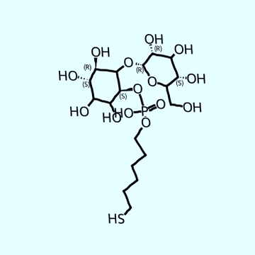 O=P(O)(OCCCCCCS)O[C@H]1C(O)C(O)[C@H](O)[C@@H](O)C1O[C@H]1OC(CO)[C@@H](O)C(O)[C@H]1O